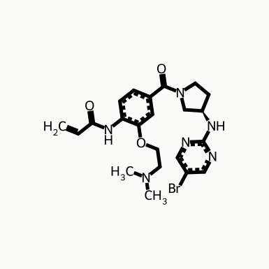 C=CC(=O)Nc1ccc(C(=O)N2CC[C@@H](Nc3ncc(Br)cn3)C2)cc1OCCN(C)C